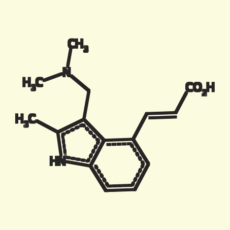 Cc1[nH]c2cccc(C=CC(=O)O)c2c1CN(C)C